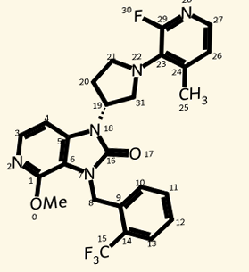 COc1nccc2c1n(Cc1ccccc1C(F)(F)F)c(=O)n2[C@@H]1CCN(c2c(C)ccnc2F)C1